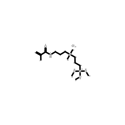 C=C(C)C(=O)NCCC[N+](C)(C)CCC[Si](OC)(OC)OC.[Cl-]